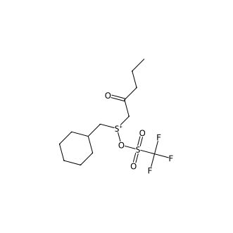 CCCC(=O)C[S+](CC1CCCCC1)OS(=O)(=O)C(F)(F)F